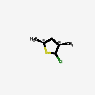 C[C@@H]1C[C@H](C)SC1Cl